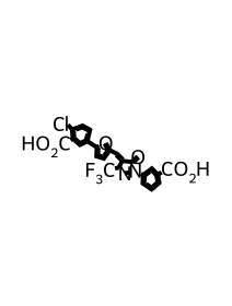 O=C(O)c1cccc(N2N=C(C(F)(F)F)/C(=C\c3ccc(-c4ccc(Cl)c(C(=O)O)c4)o3)C2=O)c1